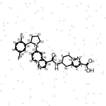 O=C(O)c1cc2n(n1)CCC(NC(=O)c1cnn3ccc(N4CCCC4c4cc(F)ccc4F)cc13)C2